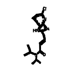 CC(C)N(C(=O)C=Cc1nc2nc(Cl)ccc2[nH]1)C(C)C